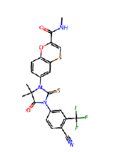 CNC(=O)C1=CSc2cc(N3C(=S)N(c4ccc(C#N)c(C(F)(F)F)c4)C(=O)C3(C)C)ccc2O1